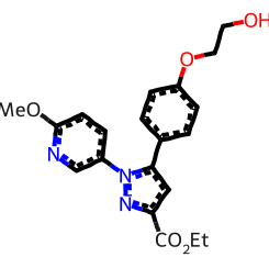 CCOC(=O)c1cc(-c2ccc(OCCO)cc2)n(-c2ccc(OC)nc2)n1